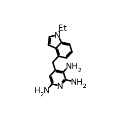 CCn1ccc2c(Cc3cc(N)nc(N)c3N)cccc21